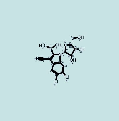 CN(C)c1c(C#N)c2cc(Cl)c(Cl)cc2n1[C@@H]1O[C@H](CO)[C@@H](O)[C@H]1O